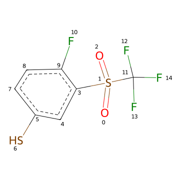 O=S(=O)(c1cc(S)ccc1F)C(F)(F)F